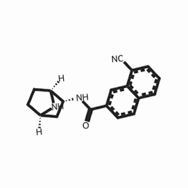 N#Cc1cccc2ccc(C(=O)N[C@@H]3C[C@H]4CC[C@@H]3N4)cc12